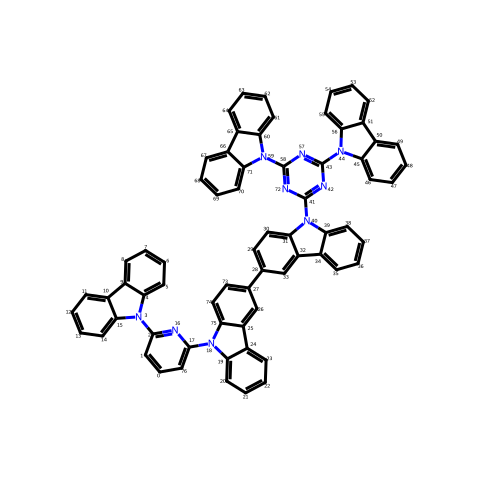 c1cc(-n2c3ccccc3c3ccccc32)nc(-n2c3ccccc3c3cc(-c4ccc5c(c4)c4ccccc4n5-c4nc(-n5c6ccccc6c6ccccc65)nc(-n5c6ccccc6c6ccccc65)n4)ccc32)c1